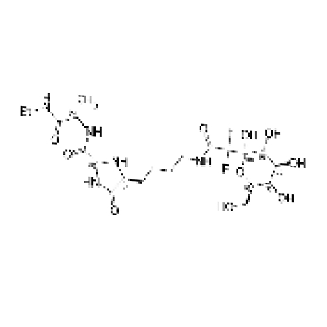 CCNC(=O)[C@H](C)NC(=O)[C@H]1NC(=O)[C@H](CCCCNC(=O)C(F)(F)[C@]2(O)O[C@H](CO)[C@H](O)[C@H](O)[C@H]2O)N1